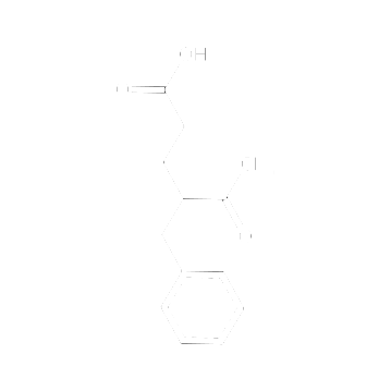 CC(=O)C(CCC(=O)O)Cc1ccccc1